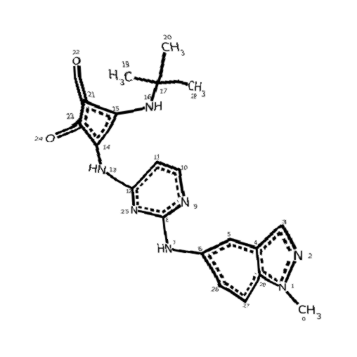 Cn1ncc2cc(Nc3nccc(Nc4c(NC(C)(C)C)c(=O)c4=O)n3)ccc21